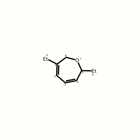 CCC1=CC=CC(CC)OC1